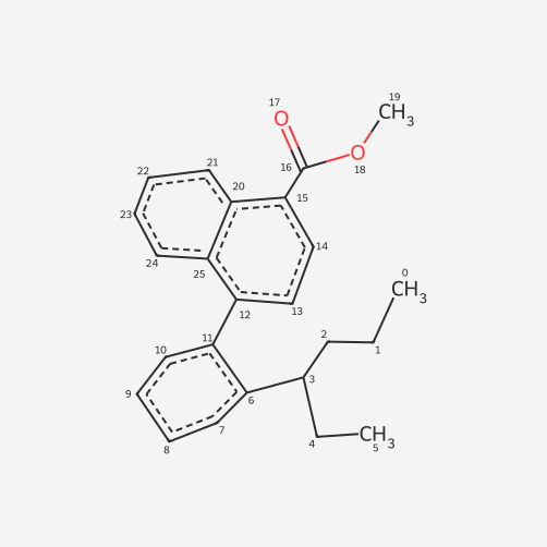 CCCC(CC)c1ccccc1-c1ccc(C(=O)OC)c2ccccc12